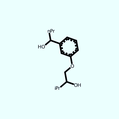 CCCC(O)c1cccc(OCC(O)C(C)C)c1